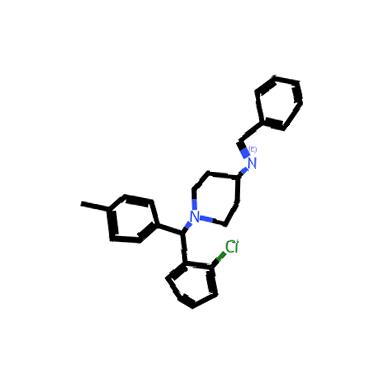 Cc1ccc(C(c2ccccc2Cl)N2CCC(/N=C/c3ccccc3)CC2)cc1